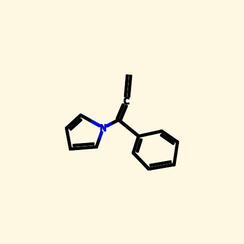 C=C=C(c1ccccc1)n1cccc1